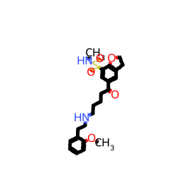 CNS(=O)(=O)c1cc(C(=O)CCCCNCCc2ccccc2OC)cc2c1OCC2